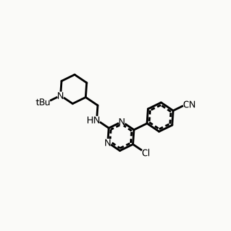 CC(C)(C)N1CCCC(CNc2ncc(Cl)c(-c3ccc(C#N)cc3)n2)C1